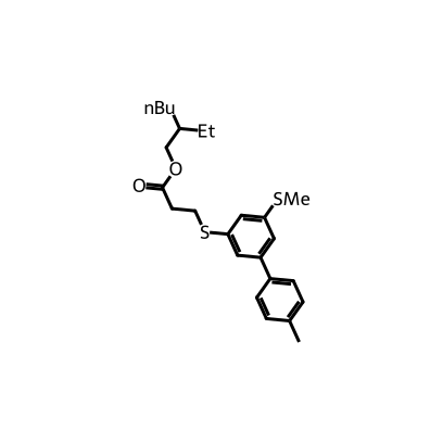 CCCCC(CC)COC(=O)CCSc1cc(SC)cc(-c2ccc(C)cc2)c1